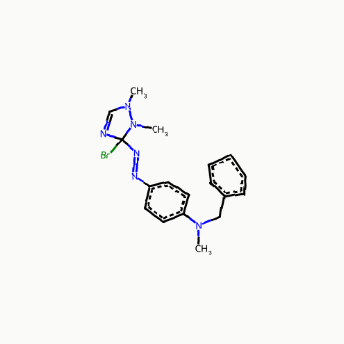 CN(Cc1ccccc1)c1ccc(N=NC2(Br)N=CN(C)N2C)cc1